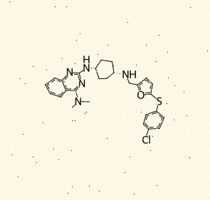 CN(C)c1nc(N[C@H]2CC[C@@H](NCc3ccc(Sc4ccc(Cl)cc4)o3)CC2)nc2ccccc12